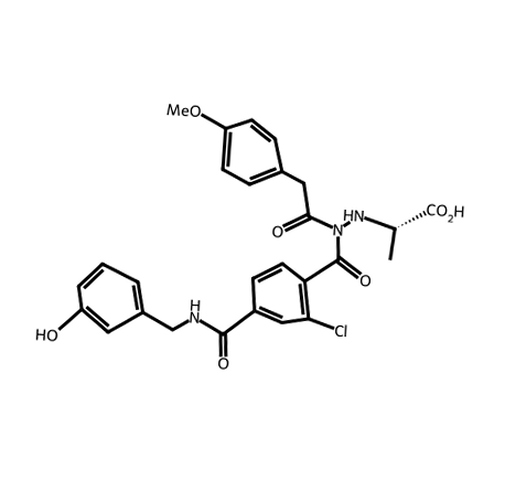 COc1ccc(CC(=O)N(N[C@@H](C)C(=O)O)C(=O)c2ccc(C(=O)NCc3cccc(O)c3)cc2Cl)cc1